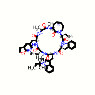 C=CC(C)(C)n1cc(C[C@@H]2NC(=O)[C@H](Cc3ccccc3)NC(=O)[C@H](CC(C)C)N3CC/C=C\C[C@@H](C3=O)N(C)C(=O)[C@H](C)NC(=O)[C@H](Cc3cnc4occc4c3)NC(=O)[C@H](CC(C)C)N(C)C2=O)c2ccccc21